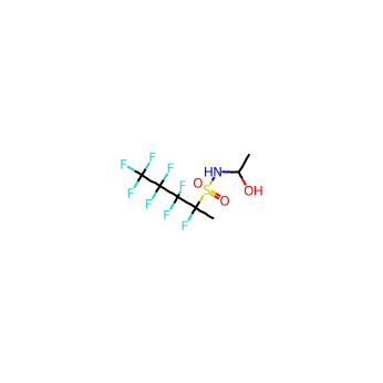 CC(O)NS(=O)(=O)C(C)(F)C(F)(F)C(F)(F)C(F)(F)F